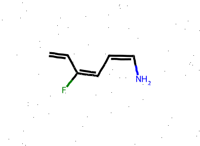 C=C/C(F)=C\C=C/N